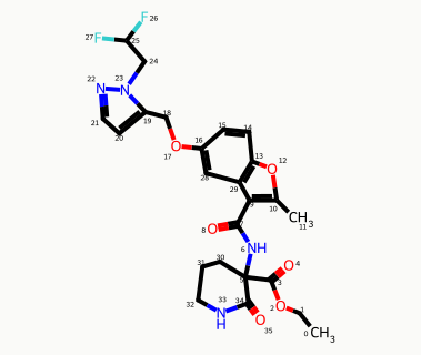 CCOC(=O)C1(NC(=O)c2c(C)oc3ccc(OCc4ccnn4CC(F)F)cc23)CCCNC1=O